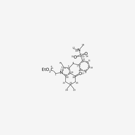 CCOC(=O)Cn1c(C)c(Cc2ccccc2S(=O)(=O)N(C)C)c2c1CC(C)(C)CC2=O